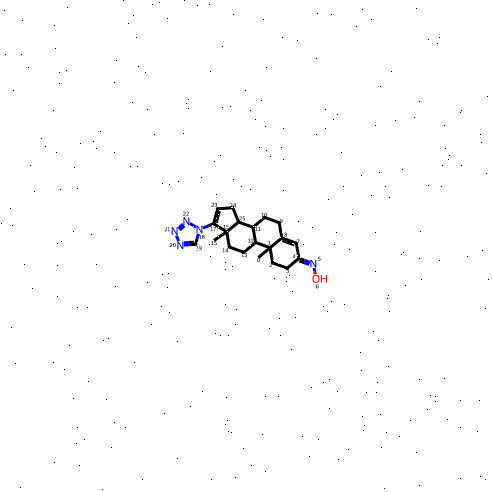 CC12CCC(=NO)C=C1CCC1C2CCC2(C)C(n3cnnn3)=CCC12